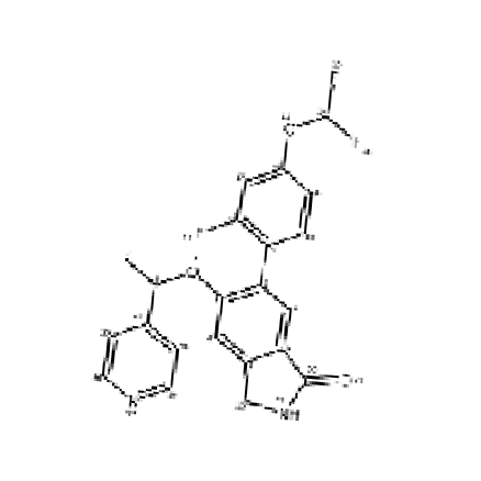 CC(Oc1cc2c(cc1-c1ccc(OC(F)F)cc1F)C(=O)NC2)c1ccncc1